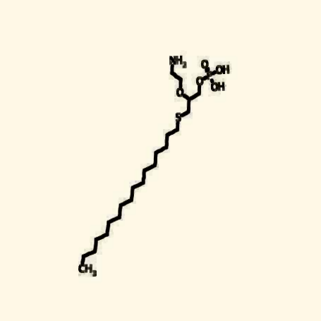 CCCCCCCCCCCCCCCCCSCC(COP(=O)(O)O)OCCN